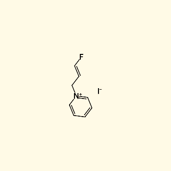 FC=CC[n+]1ccccc1.[I-]